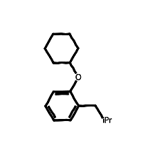 CC(C)Cc1ccccc1OC1CCCCC1